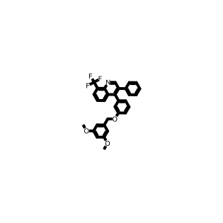 COc1cc(COc2cccc(-c3c(-c4ccccc4)cnc4c(C(F)(F)F)cccc34)c2)cc(OC)c1